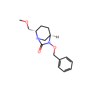 COC[C@@H]1CC[C@@H]2CN1C(=O)N2OCc1ccccc1